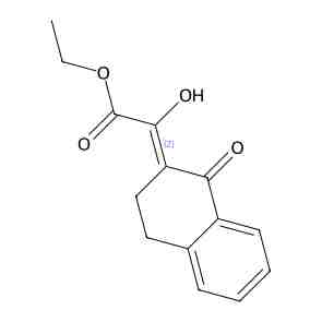 CCOC(=O)/C(O)=C1\CCc2ccccc2C1=O